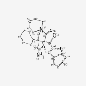 CC(C)(C1CCCCC1)C(OC(N)=O)(C(=O)c1nc2ccccc2o1)C(=O)N1CCOCC1